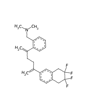 C=C(CCC(=C)c1ccccc1CN(C)C)c1ccc2c(c1)CC(F)(F)C(F)(F)C2